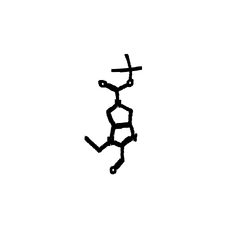 CCn1c(C=O)nc2c1CN(C(=O)OC(C)(C)C)C2